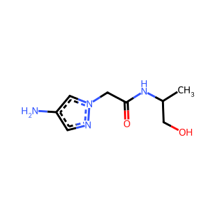 CC(CO)NC(=O)Cn1cc(N)cn1